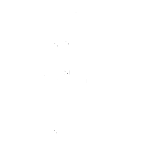 Cl.O=C(Nc1cnn(Cc2ccccc2C(F)(F)F)c1)c1ccc2c(c1)CCNC2